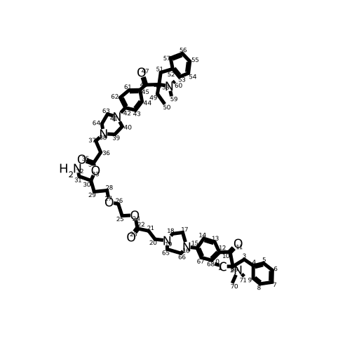 CCC(Cc1ccccc1)(C(=O)c1ccc(N2CCN(CCC(=O)OCCOCCC(CN)OC(=O)CCN3CCN(c4ccc(C(=O)C(CC)(Cc5ccccc5)N(C)C)cc4)CC3)CC2)cc1)N(C)C